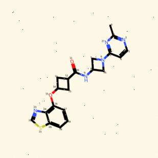 Cc1nccc(N2CC(NC(=O)C3CC(Oc4cccc5scnc45)C3)C2)n1